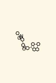 c1ccc(-c2nc3ccc(-c4ccc5oc6ccc(C7c8cccc9c8-c8c7ccc7cccc(c87)-c7ccccc7-9)cc6c5c4)cc3o2)cc1